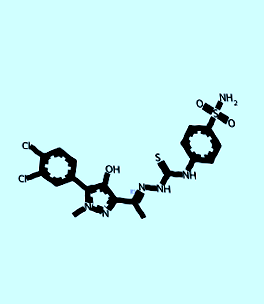 C/C(=N\NC(=S)Nc1ccc(S(N)(=O)=O)cc1)c1nn(C)c(-c2ccc(Cl)c(Cl)c2)c1O